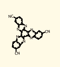 N#Cc1ccc2nc3c4nc5cc(C#N)ccc5nc4c4nc5cc(C#N)ccc5nc4c3nc2c1